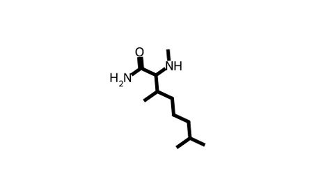 CNC(C(N)=O)C(C)CCCC(C)C